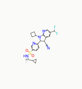 C[C@H](NS(=O)(=O)c1ccc(C2C(C#N)c3cc(C(F)F)cnc3N2C2CCC2)nc1)C1CC1